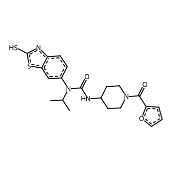 CC(C)N(C(=O)NC1CCN(C(=O)c2ccco2)CC1)c1ccc2nc(S)sc2c1